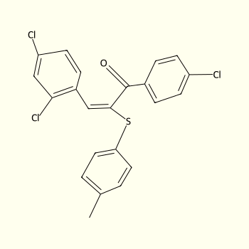 Cc1ccc(SC(=Cc2ccc(Cl)cc2Cl)C(=O)c2ccc(Cl)cc2)cc1